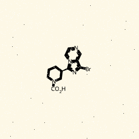 O=C(O)N1CCC[C@@H](c2nc(Br)c3cnccn23)C1